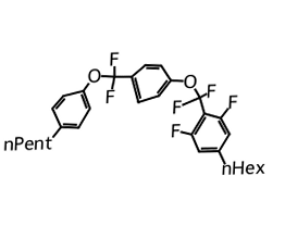 CCCCCCc1cc(F)c(C(F)(F)Oc2ccc(C(F)(F)Oc3ccc(CCCCC)cc3)cc2)c(F)c1